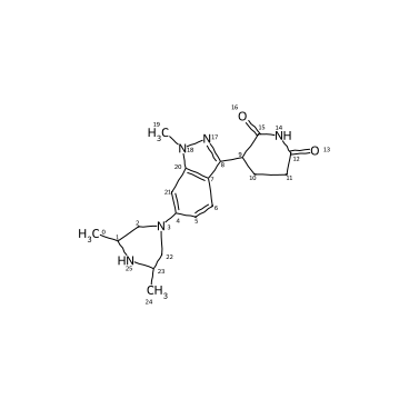 CC1CN(c2ccc3c(C4CCC(=O)NC4=O)nn(C)c3c2)CC(C)N1